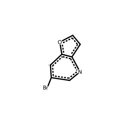 Brc1[c]c2occc2nc1